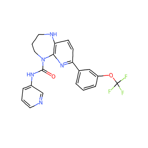 O=C(Nc1cccnc1)N1CCCNc2ccc(-c3cccc(OC(F)(F)F)c3)nc21